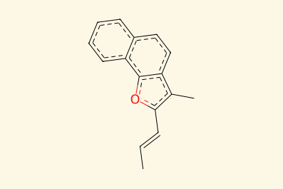 CC=Cc1oc2c(ccc3ccccc32)c1C